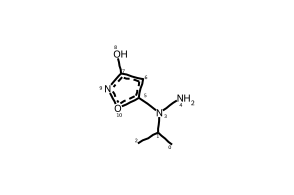 CC(C)N(N)c1cc(O)no1